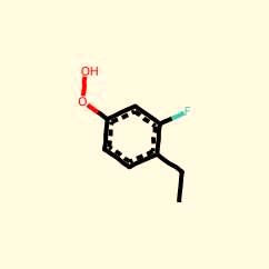 CCc1ccc(OO)cc1F